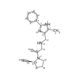 Cc1[nH]c(-c2ccccc2)nc1CNCC(=O)N1CCC[C@H]1C#N